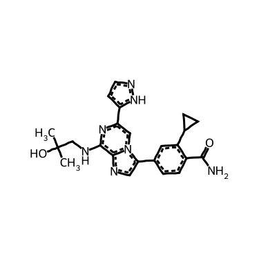 CC(C)(O)CNc1nc(-c2ccn[nH]2)cn2c(-c3ccc(C(N)=O)c(C4CC4)c3)cnc12